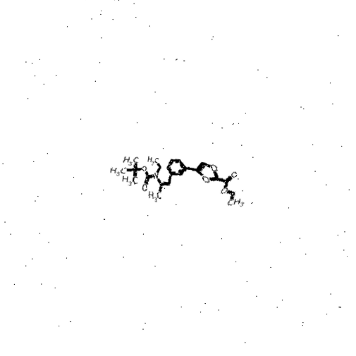 CCOC(=O)C1OC=C(c2cccc(CC(C)N(CC)C(=O)OC(C)(C)C)c2)O1